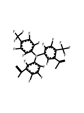 C=C(C)c1c(F)c(F)c(F)c(N(c2c(F)c(F)c(C(F)(F)F)c(F)c2F)c2c(F)c(F)c(C(F)(F)F)c(C(=C)C)c2F)c1F